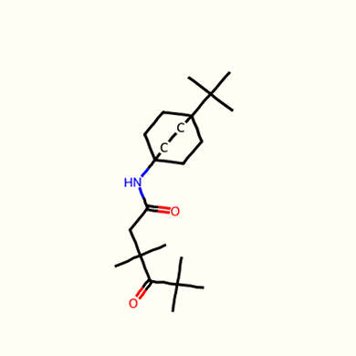 CC(C)(C)C(=O)C(C)(C)CC(=O)NC12CCC(C(C)(C)C)(CC1)CC2